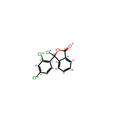 O=C1OC(Cl)(c2ccc(Cl)cc2Cl)c2ccccc21